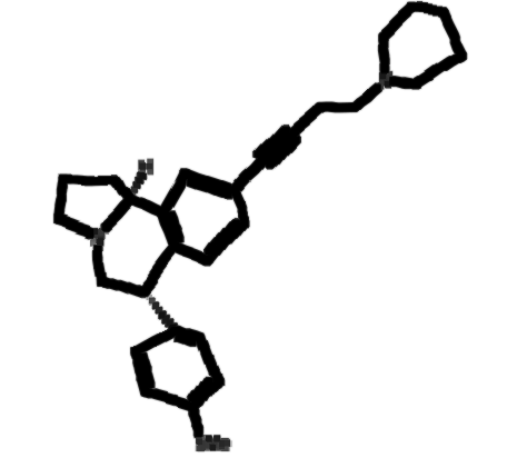 CSc1ccc([C@@H]2CN3CCC[C@H]3c3cc(C#CCCN4CCCCC4)ccc32)cc1